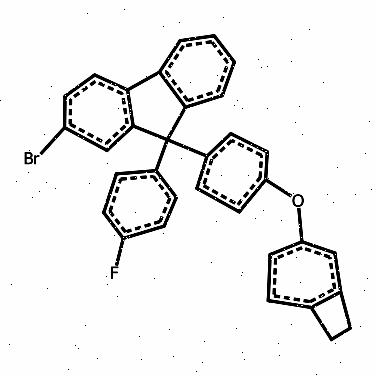 Fc1ccc(C2(c3ccc(Oc4ccc5c(c4)CC5)cc3)c3ccccc3-c3ccc(Br)cc32)cc1